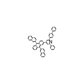 c1ccc(-c2ccc(-c3cc(-c4ccc5c(-c6ccc7ccccc7c6)c6ccccc6c(-c6ccc7ccccc7c6)c5c4)cc(-c4ccccc4)n3)cc2)cc1